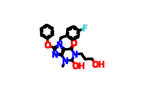 CN1c2nc(Oc3ccccc3)n(Cc3ccc(F)cc3)c2C(=O)N(CCCO)C1O